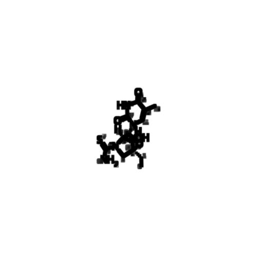 CC[C@@]12CN(C(N)=S)[C@@H]([C@H](n3cc(C)c(=O)[nH]c3=O)O1)[C@@H]2O